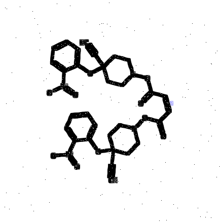 C#CC1(Oc2ccccc2[N+](=O)[O-])CCN(OC(=O)/C=C\C(=O)ON2CCC(C#C)(Oc3ccccc3[N+](=O)[O-])CC2)CC1